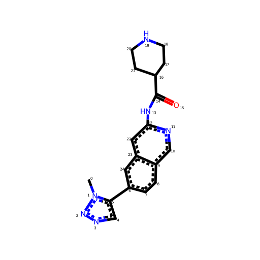 Cn1nncc1-c1ccc2cnc(NC(=O)C3CCNCC3)cc2c1